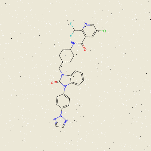 O=C(NC1CCC(Cn2c(=O)n(-c3ccc(-n4nccn4)cc3)c3ccccc32)CC1)c1cc(Cl)cnc1C(F)F